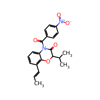 C/C=C/c1cccc2c1OC(C(C)C)C(=O)N2C(=O)c1ccc([N+](=O)[O-])cc1